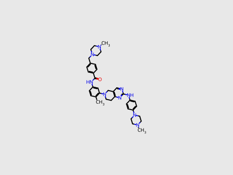 Cc1ccc(NC(=O)c2ccc(CN3CCN(C)CC3)cc2)cc1N1CCc2nc(Nc3ccc(N4CCN(C)CC4)cc3)ncc2C1